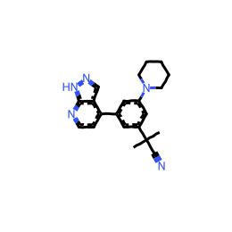 CC(C)(C#N)c1cc(-c2ccnc3[nH]ncc23)cc(N2CCCCC2)c1